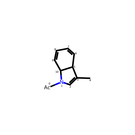 CC(=O)N1C=C(C)C2C=CC=CC21